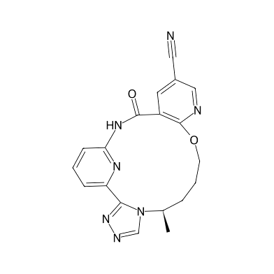 C[C@@H]1CCCOc2ncc(C#N)cc2C(=O)Nc2cccc(n2)-c2nncn21